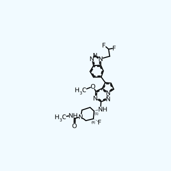 CNC(=O)N1CC[C@H](Nc2nc(OC)c3c(-c4ccc5nnn(CC(F)F)c5c4)ccn3n2)[C@H](F)C1